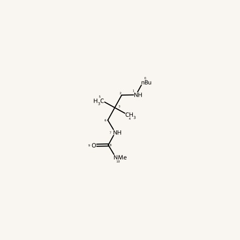 CCCCNCC(C)(C)CNC(=O)NC